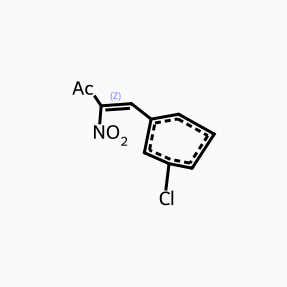 CC(=O)/C(=C/c1cccc(Cl)c1)[N+](=O)[O-]